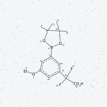 CCOc1cc(B2OC(C)(C)C(C)(C)O2)cc(C(F)(F)C(=O)O)c1